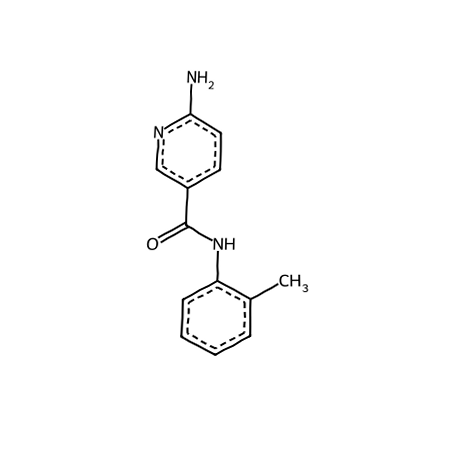 Cc1ccccc1NC(=O)c1ccc(N)nc1